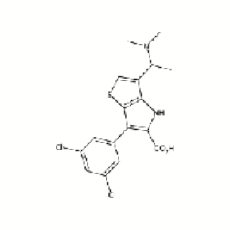 CC(c1csc2c(-c3cc(Cl)cc(Cl)c3)c(C(=O)O)[nH]c12)N(C)C